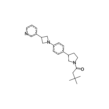 CC(C)(C)CC(=O)N1CCC(c2ccc(N3CC(c4cccnc4)C3)cc2)C1